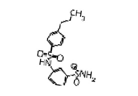 CCCc1ccc(S(=O)(=O)Nc2cccc(S(N)(=O)=O)c2)cc1